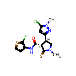 CN1C[C@H](c2cc(Cl)n(C)n2)[C@@H](C(=O)Nc2ccsc2F)C1=S